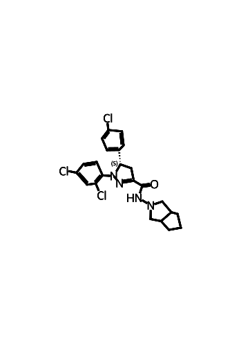 O=C(NN1CC2CCCC2C1)C1=NN(c2ccc(Cl)cc2Cl)[C@H](c2ccc(Cl)cc2)C1